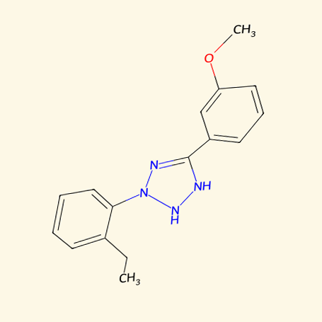 CCc1ccccc1N1N=C(c2cccc(OC)c2)NN1